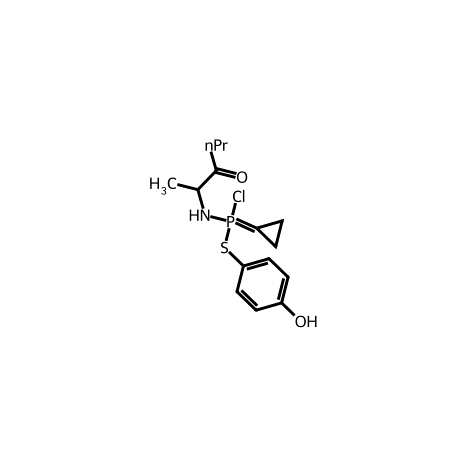 CCCC(=O)C(C)NP(Cl)(Sc1ccc(O)cc1)=C1CC1